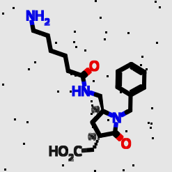 NCCCCCC(=O)NC[C@@H]1C[C@@H](CC(=O)O)C(=O)N1Cc1ccccc1